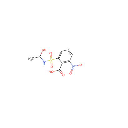 CC(O)NS(=O)(=O)c1cccc([N+](=O)[O-])c1C(=O)O